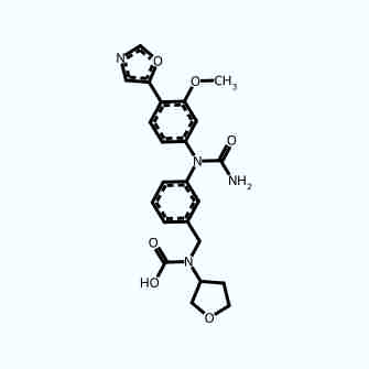 COc1cc(N(C(N)=O)c2cccc(CN(C(=O)O)C3CCOC3)c2)ccc1-c1cnco1